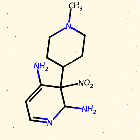 CN1CCC(C2([N+](=O)[O-])C(N)=CC=NC2N)CC1